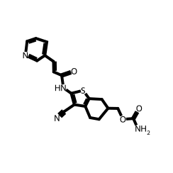 N#Cc1c(NC(=O)C=Cc2cccnc2)sc2c1CCC(COC(N)=O)C2